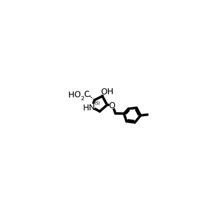 Cc1ccc(COC2CN[C@H](C(=O)O)C2O)cc1